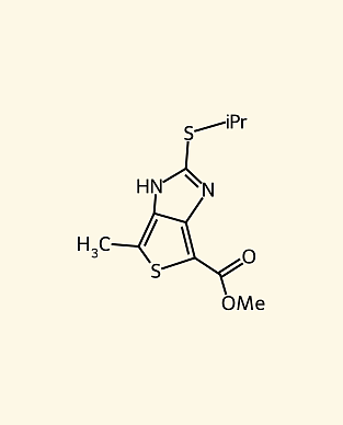 COC(=O)c1sc(C)c2[nH]c(SC(C)C)nc12